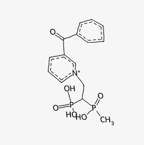 CP(=O)(O)C(C[n+]1cccc(C(=O)c2ccccc2)c1)P(=O)(O)O